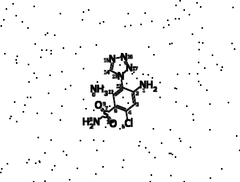 N.Nc1cc(Cl)c(S(N)(=O)=O)cc1-n1cnnn1